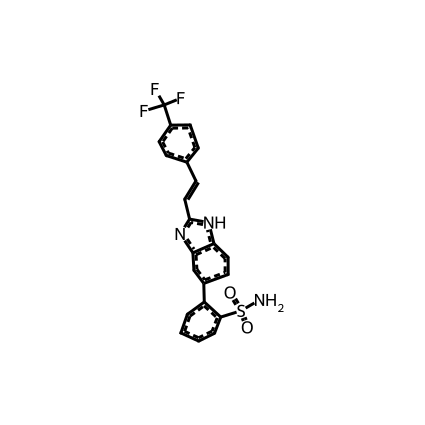 NS(=O)(=O)c1ccccc1-c1ccc2[nH]c(C=Cc3ccc(C(F)(F)F)cc3)nc2c1